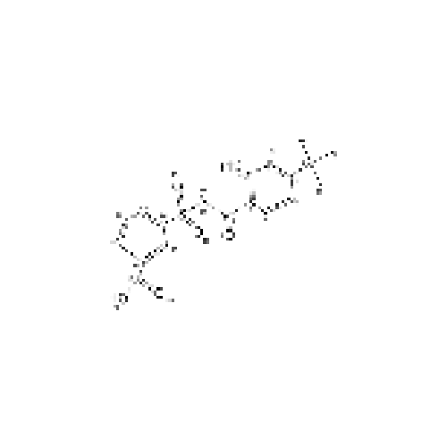 CC(C)(C)c1ccc(C(=O)NS(=O)(=O)c2cccc(C(=O)O)c2)c(Cl)n1